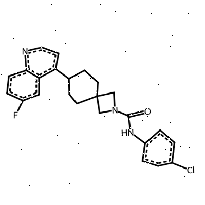 O=C(Nc1ccc(Cl)cc1)N1CC2(CCC(c3ccnc4ccc(F)cc34)CC2)C1